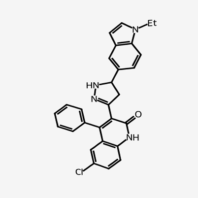 CCn1ccc2cc(C3CC(c4c(-c5ccccc5)c5cc(Cl)ccc5[nH]c4=O)=NN3)ccc21